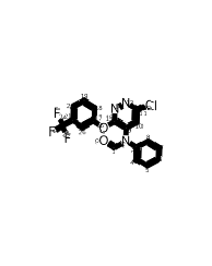 O=CN(c1ccccc1)c1cc(Cl)nnc1Oc1cccc(C(F)(F)F)c1